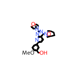 COc1ccc(-c2ccc3c(N4CC5CCC(C4)O5)nc(N4CC5CCCC4CO5)nc3n2)cc1CO